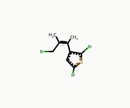 C/C(CBr)=C(\C)c1cc(Br)sc1Br